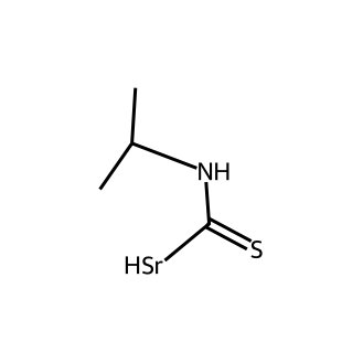 CC(C)N[C](=S)[SrH]